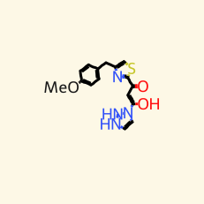 COc1ccc(Cc2csc(C(=O)C=C(O)N3C=CNN3)n2)cc1